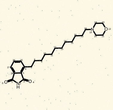 O=C1NC(=O)c2c(CCCCCCCCCCCCN3CCOCC3)cccc21